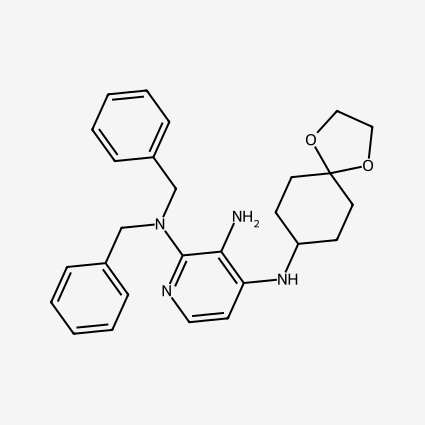 Nc1c(NC2CCC3(CC2)OCCO3)ccnc1N(Cc1ccccc1)Cc1ccccc1